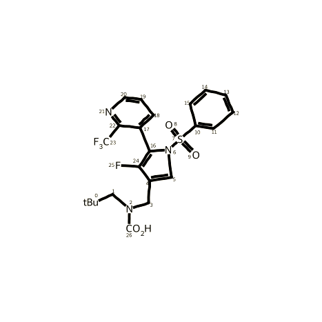 CC(C)(C)CN(Cc1cn(S(=O)(=O)c2ccccc2)c(-c2cccnc2C(F)(F)F)c1F)C(=O)O